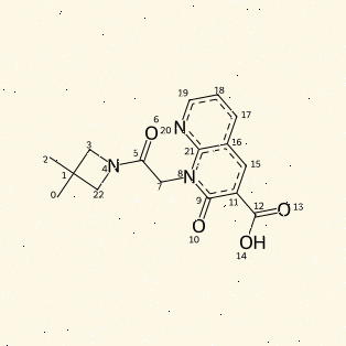 CC1(C)CN(C(=O)Cn2c(=O)c(C(=O)O)cc3cccnc32)C1